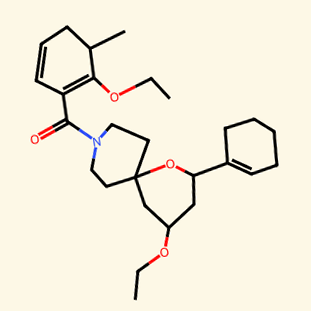 CCOC1=C(C(=O)N2CCC3(CC2)CC(OCC)CC(C2=CCCCC2)O3)C=CCC1C